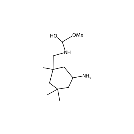 COC(O)NCC1(C)CC(N)CC(C)(C)C1